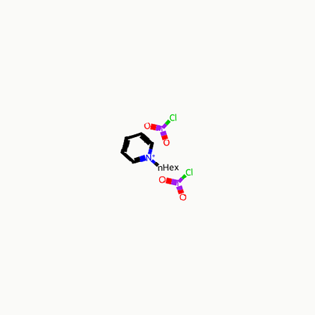 CCCCCC[n+]1ccccc1.O=I(=O)Cl.O=I(=O)Cl